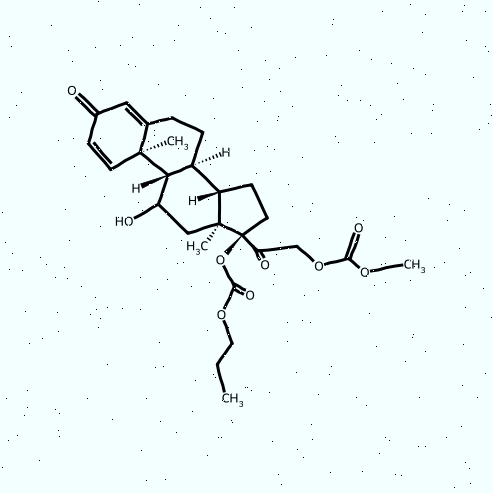 CCCOC(=O)O[C@]1(C(=O)COC(=O)OC)CC[C@H]2[C@@H]3CCC4=CC(=O)C=C[C@]4(C)[C@H]3C(O)C[C@@]21C